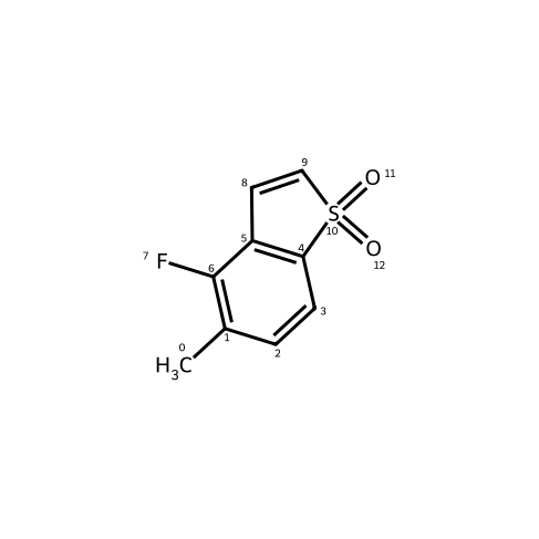 Cc1ccc2c(c1F)C=CS2(=O)=O